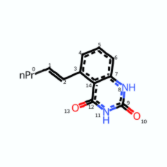 CCC/C=C/c1cccc2[nH]c(=O)[nH]c(=O)c12